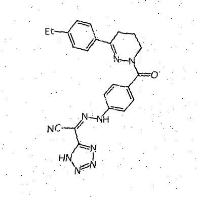 CCc1ccc(C2=NN(C(=O)c3ccc(NN=C(C#N)c4nnn[nH]4)cc3)CCC2)cc1